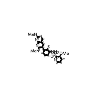 CNc1ncc2cc(-c3cccc(NS(=O)(=O)c4ncccc4OC)c3F)c(NC)nc2n1